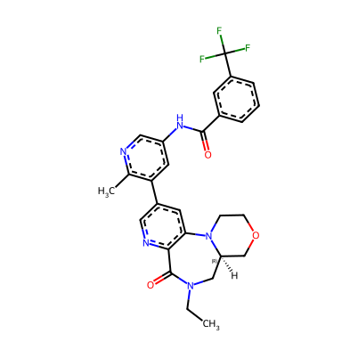 CCN1C[C@@H]2COCCN2c2cc(-c3cc(NC(=O)c4cccc(C(F)(F)F)c4)cnc3C)cnc2C1=O